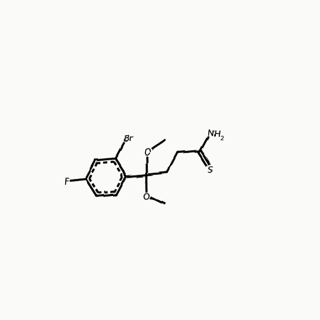 COC(CCC(N)=S)(OC)c1ccc(F)cc1Br